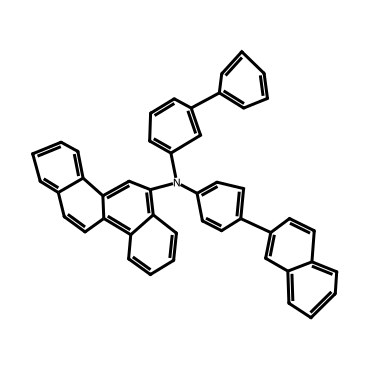 c1ccc(-c2cccc(N(c3ccc(-c4ccc5ccccc5c4)cc3)c3cc4c5ccccc5ccc4c4ccccc34)c2)cc1